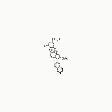 CC(=O)OC1C[C@H]2[C@@H]3OC4=C(C=C3C=C[C@]2(C)[C@H]1c1ccc2cnccc2c1)C(=O)CC(C(=O)O)C4